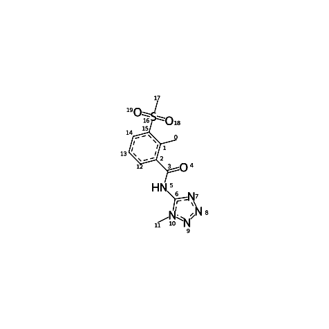 Cc1c(C(=O)Nc2nnnn2C)cccc1S(C)(=O)=O